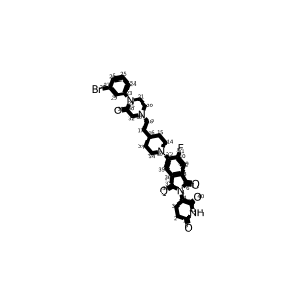 O=C1CCC(N2C(=O)c3cc(F)c(N4CCC(CCN5CCN(c6cccc(Br)c6)C(=O)C5)CC4)cc3C2=O)C(=O)N1